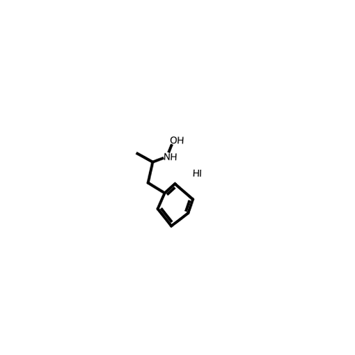 CC(Cc1ccccc1)NO.I